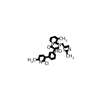 Cc1ccc(-c2cccc(-c3c(O)[n+](Cc4cnc(C)s4)c4c(C)cccn4c3=O)c2)c(Cl)n1